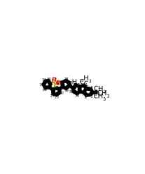 CC(C)(C)c1ccc2c(c1)C(C)(C)c1cc(-c3cccc(-c4cccc5c4S(=O)(=O)c4ccccc4-5)c3)ccc1-2